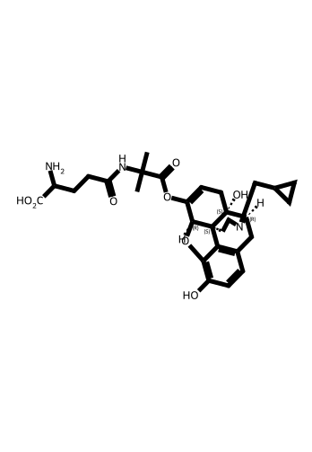 CC(C)(NC(=O)CCC(N)C(=O)O)C(=O)OC1=CC[C@@]2(O)[C@H]3Cc4ccc(O)c5c4[C@@]2(CCN3CC2CC2)[C@H]1O5